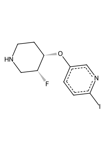 F[C@@H]1CNCC[C@@H]1Oc1ccc(I)nc1